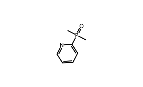 CP(C)(=O)c1ccccn1